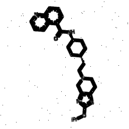 CC(C)Oc1nc2c(s1)CCN(CC[C@H]1CC[C@H](NC(=O)c3cccc4ncccc34)CC1)C2